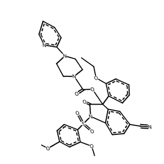 CCOc1ccccc1C1(OC(=O)N2CCN(c3ccccn3)CC2)C(=O)N(S(=O)(=O)c2ccc(OC)cc2OC)c2ccc(C#N)cc21